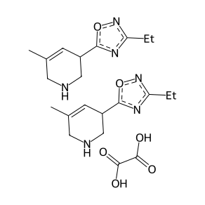 CCc1noc(C2C=C(C)CNC2)n1.CCc1noc(C2C=C(C)CNC2)n1.O=C(O)C(=O)O